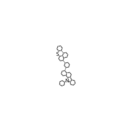 c1ccc(-n2c3ccccc3c3ccc4c(-c5cccc(-c6ccc7c8c(cccc68)-c6ccccc6S7)c5)cccc4c32)cc1